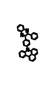 c1ccc(-c2nc3ccccc3nc2-c2ccc(N3c4ccccc4-c4cccc5cccc3c45)cc2)cc1